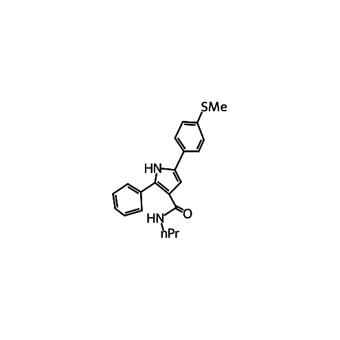 CCCNC(=O)c1cc(-c2ccc(SC)cc2)[nH]c1-c1ccccc1